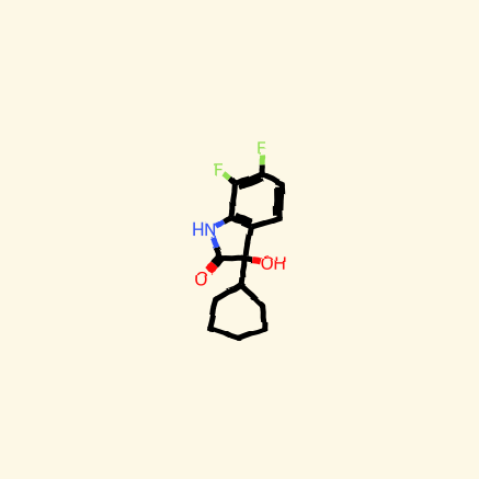 O=C1Nc2c(ccc(F)c2F)C1(O)C1CCCCC1